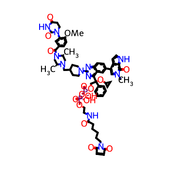 COc1ccc(C(=O)N2C[C@H](C)N(CC3CCN(c4nc(C(COP(=O)(O)OP(=O)(O)OCCNC(=O)CCCCCN5C(=O)C=CC5=O)(OC5CC5)c5ccccc5)c5cc(-c6cn(C)c(=O)c7[nH]ccc67)ccc5n4)CC3)C[C@H]2C)cc1N1CCC(=O)NC1=O